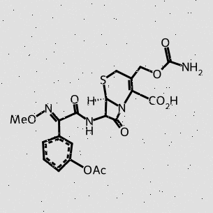 CO/N=C(/C(=O)NC1C(=O)N2C(C(=O)O)=C(COC(N)=O)CS[C@H]12)c1cccc(OC(C)=O)c1